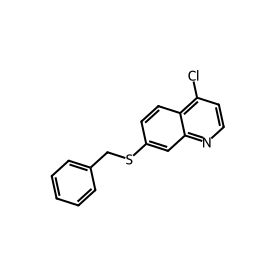 Clc1ccnc2cc(SCc3ccccc3)ccc12